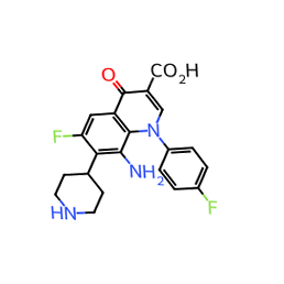 Nc1c(C2CCNCC2)c(F)cc2c(=O)c(C(=O)O)cn(-c3ccc(F)cc3)c12